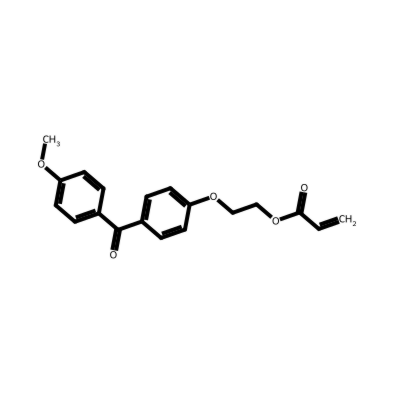 C=CC(=O)OCCOc1ccc(C(=O)c2ccc(OC)cc2)cc1